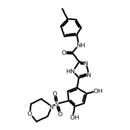 Cc1ccc(NC(=O)c2nnc(-c3cc(S(=O)(=O)N4CCOCC4)c(O)cc3O)[nH]2)cc1